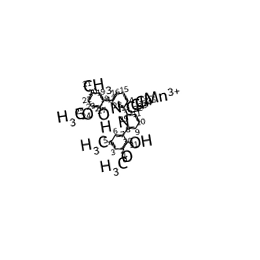 COc1cc(C)cc(-c2cccc(-c3cccc(-c4cc(C)cc(OC)c4O)n3)n2)c1O.[Cl-].[Cl-].[Cl-].[Mn+3]